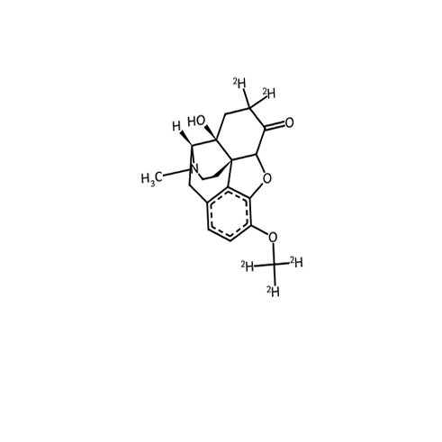 [2H]C([2H])([2H])Oc1ccc2c3c1OC1C(=O)C([2H])([2H])C[C@@]4(O)[C@@H](C2)N(C)CC[C@]314